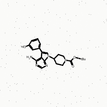 CC(C)(C)OC(=O)N1CCC(n2cc(-c3cccc(O)c3)c3c(N)ncnc32)CC1